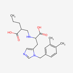 CCCC(CNC(Cc1cncn1Cc1ccc(C)c(C)c1)C(=O)O)C(=O)O